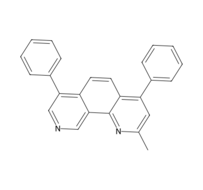 Cc1cc(-c2ccccc2)c2ccc3c(-c4ccccc4)cncc3c2n1